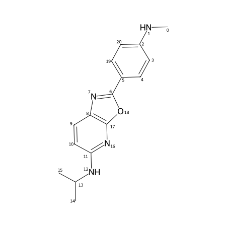 CNc1ccc(-c2nc3ccc(NC(C)C)nc3o2)cc1